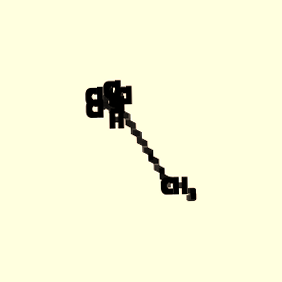 CCCCCCCCCCCCCCCCCC[SiH]1CC(Cl)C(Cl)C(Cl)C1Cl